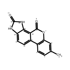 Cc1ccc2c(c1)oc(=O)c1c2ccc2[nH]c(=O)[nH]c21